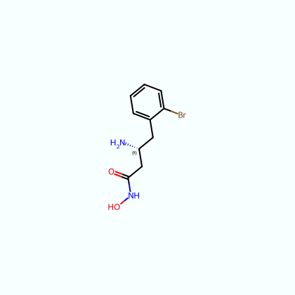 N[C@@H](CC(=O)NO)Cc1ccccc1Br